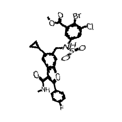 CNC(=O)c1c(-c2ccc(F)cc2)oc2cc(CN(c3cc(Cl)c(Br)c(C(=O)OC)c3)[SH](=O)=O)c(C3CC3)cc12